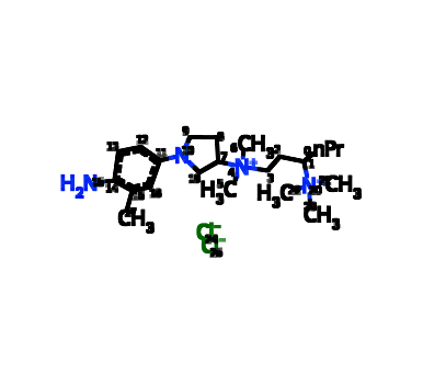 CCCC(CC[N+](C)(C)C1CCN(c2ccc(N)c(C)c2)C1)[N+](C)(C)C.[Cl-].[Cl-]